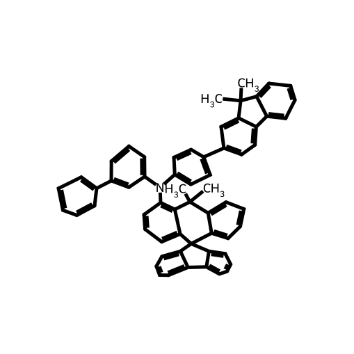 CC1(C)c2ccccc2-c2ccc(-c3ccc(N(c4cccc(-c5ccccc5)c4)c4cccc5c4C(C)(C)c4ccccc4C54c5ccccc5-c5ccccc54)cc3)cc21